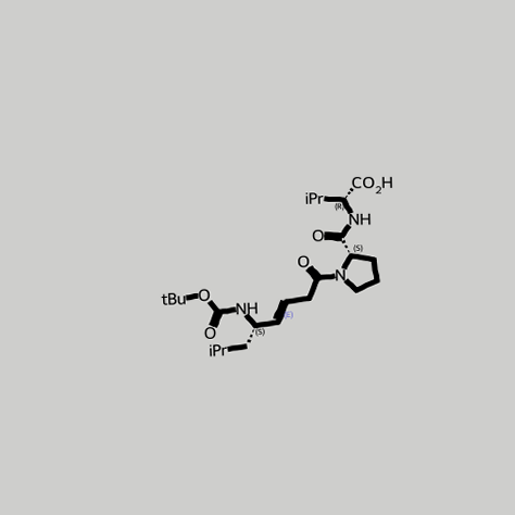 CC(C)C[C@@H](/C=C/CC(=O)N1CCC[C@H]1C(=O)N[C@@H](C(=O)O)C(C)C)NC(=O)OC(C)(C)C